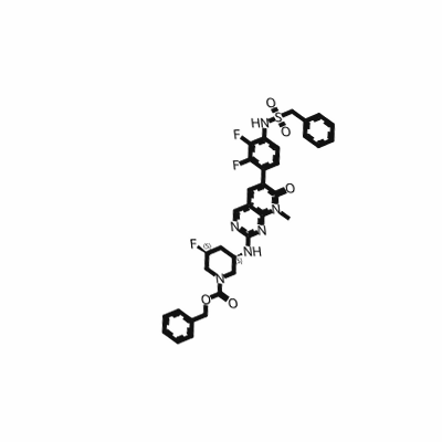 Cn1c(=O)c(-c2ccc(NS(=O)(=O)Cc3ccccc3)c(F)c2F)cc2cnc(N[C@H]3C[C@H](F)CN(C(=O)OCc4ccccc4)C3)nc21